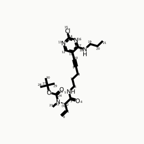 C=C[C@@H](C(=O)NCCCC#Cc1cnc(Cl)nc1NCCC)N(C)C(=O)OC(C)(C)C